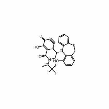 C[C@@H](N1CC([C@@H]2c3ccccc3SCc3cccc(O)c32)n2c#cc(=O)c(O)c2C1=O)C(F)(F)F